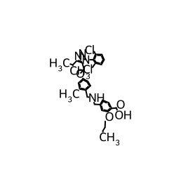 CCCCOc1cc(CNCc2ccc(OCc3c(C(C)C)nnn3-c3c(Cl)cccc3Cl)cc2C)ccc1C(=O)O